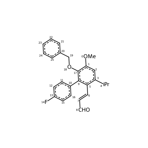 COc1cc(C(C)C)c(C=CC=O)c(-c2ccc(F)cc2)c1OCc1ccccc1